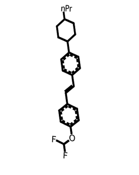 CCCC1CCC(c2ccc(C=Cc3ccc(OC(F)F)cc3)cc2)CC1